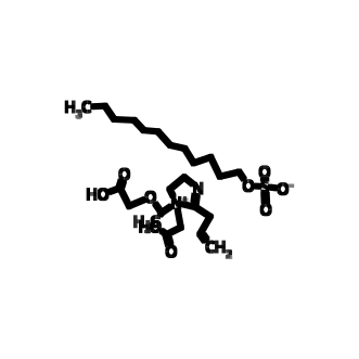 C=CCC1=NCC[N+]1(CC(=O)O)C(C)OCC(=O)O.CCCCCCCCCCCCOS(=O)(=O)[O-]